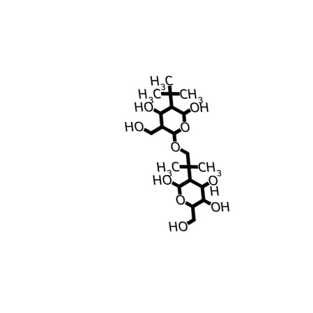 CC(C)(C)C1C(O)OC(OCC(C)(C)C2C(O)OC(CO)C(O)C2O)C(CO)C1O